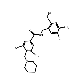 CCSc1cc(C)c(Cl)cc1CNC(=O)c1cc(Cl)c(CN2CCCCC2)c(C(F)(F)F)c1